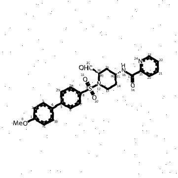 COc1ccc(-c2ccc(S(=O)(=O)N3CC[C@@H](NC(=O)c4ccccn4)C[C@@H]3C=O)cc2)cc1